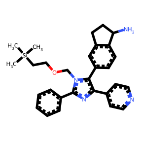 C[Si](C)(C)CCOCn1c(-c2ccccc2)nc(-c2ccncc2)c1-c1ccc2c(c1)CCC2N